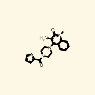 Cn1c(=O)c(N)c(N2CCN(C(=O)c3cccs3)CC2)c2ccccc21